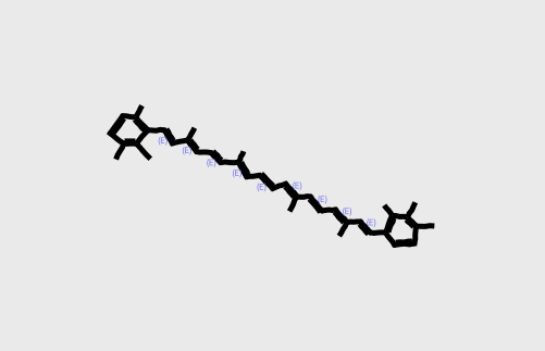 CC(/C=C/C=C(C)/C=C/c1ccc(C)c(C)c1C)=C\C=C\C=C(C)\C=C\C=C(C)\C=C\c1c(C)ccc(C)c1C